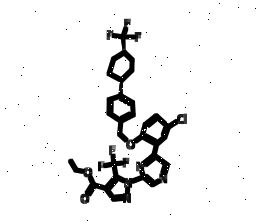 CCOC(=O)c1cnn(-c2cncc(-c3cc(Cl)ccc3OCc3ccc([C@H]4CC[C@@H](C(F)(F)F)CC4)cc3)n2)c1C(F)(F)F